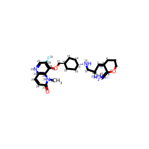 C=C(/C=C1/CCCO/C1=C/N)CN[C@H]1CC[C@H](COc2c(F)cnc3ccc(=O)n(C)c23)CC1